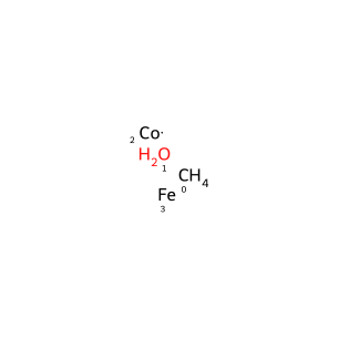 C.O.[Co].[Fe]